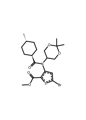 COC(=O)c1sc(Br)cc1N(C(=O)[C@H]1CC[C@H](C)CC1)C1COC(C)(C)OC1